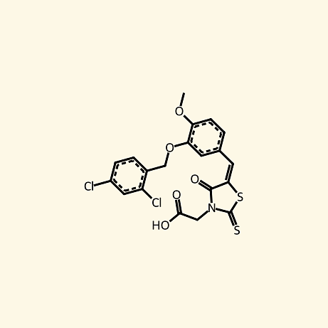 COc1ccc(C=C2SC(=S)N(CC(=O)O)C2=O)cc1OCc1ccc(Cl)cc1Cl